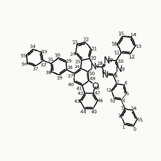 c1ccc(-c2ccc(-c3nc(-c4ccccc4)nc(-n4c5ccccc5c5c(-c6ccc(-c7ccccc7)cc6)cc6c7ccccc7oc6c54)n3)cc2)cc1